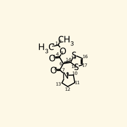 CC(C)OC(=O)C(C(=O)N1CCCC1)=C1SC=CS1